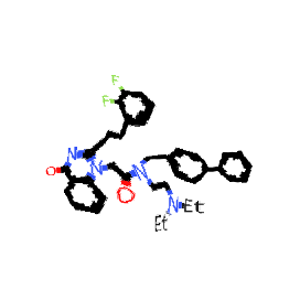 CCN(CC)CCN(Cc1ccc(-c2ccccc2)cc1)C(=O)Cn1c(CCc2cccc(F)c2F)nc(=O)c2ccccc21